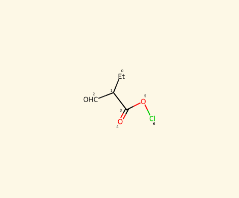 CCC(C=O)C(=O)OCl